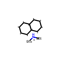 C1CCC2CCCCC2C1.CCNCC